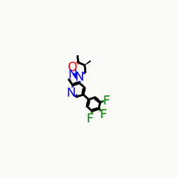 CC(=O)[C@@H](C)Cn1ncc2ncc(-c3cc(F)c(F)c(F)c3)cc21